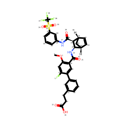 COc1cc(F)c(-c2cccc(CCC(=O)O)c2)cc1C(=O)N[C@H]1[C@@H](C(=O)Nc2cccc(S(=O)(=O)C(F)(F)F)c2)[C@@H]2C=C[C@H]1C2